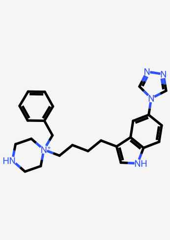 c1ccc(C[N+]2(CCCCc3c[nH]c4ccc(-n5cnnc5)cc34)CCNCC2)cc1